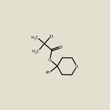 CCC(C)(C)C(=O)OC1(C(C)C)CCOCC1